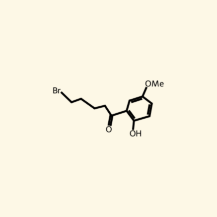 COc1ccc(O)c(C(=O)CCCCBr)c1